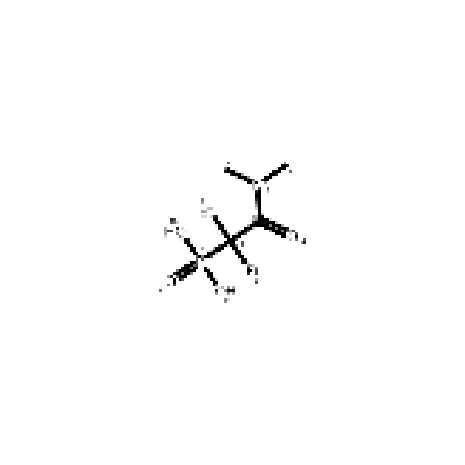 CCC(CC)(C(=O)N(C)C)P(=O)(O)O